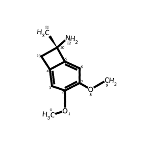 COc1cc2c(cc1OC)[C@@](C)(N)C2